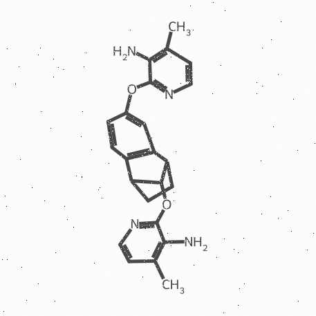 Cc1ccnc(Oc2ccc3c(c2)C2CCC3C2Oc2nccc(C)c2N)c1N